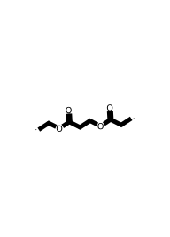 [CH2]COC(=O)CCOC(=O)C[CH2]